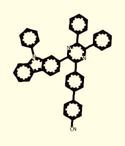 N#Cc1ccc(-c2ccc(-c3nc(-c4ccccc4)c(-c4ccccc4)nc3-c3ccc4c5ccccc5n(-c5ccccc5)c4c3)cc2)cc1